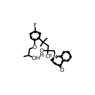 CC(O)COc1ccc(F)cc1C(C)(C)CC(O)(Cn1ccc(=O)c2ccccc21)C(F)(F)F